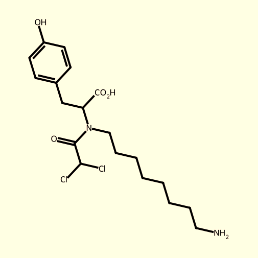 NCCCCCCCCN(C(=O)C(Cl)Cl)C(Cc1ccc(O)cc1)C(=O)O